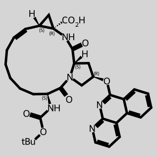 CC(C)(C)OC(=O)N[C@H]1CCCCCC=C[C@@H]2C[C@@]2(C(=O)O)NC(=O)[C@@H]2C[C@@H](Oc3nc4ncccc4c4ccccc34)CN2C1=O